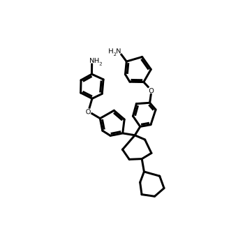 Nc1ccc(Oc2ccc(C3(c4ccc(Oc5ccc(N)cc5)cc4)CCC(C4CCCCC4)CC3)cc2)cc1